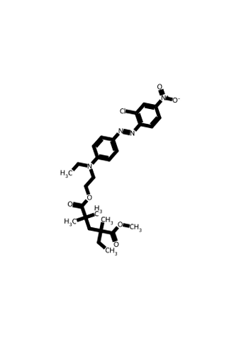 CCN(CCOC(=O)C(C)(C)CC(C)(CC)C(=O)OC)c1ccc(N=Nc2ccc([N+](=O)[O-])cc2Cl)cc1